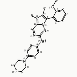 COc1ccccc1-c1c(C)c(C)c2cnc(Nc3ccc(N4CCOCC4)cc3)nn12